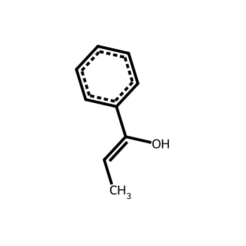 C/C=C(\O)c1ccccc1